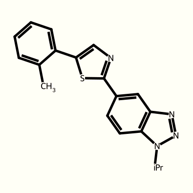 Cc1ccccc1-c1cnc(-c2ccc3c(c2)nnn3C(C)C)s1